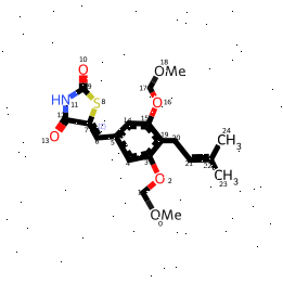 COCOc1cc(/C=C2\SC(=O)NC2=O)cc(OCOC)c1CC=C(C)C